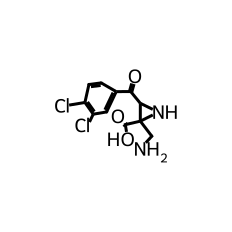 NCC1(C(=O)O)NC1C(=O)c1ccc(Cl)c(Cl)c1